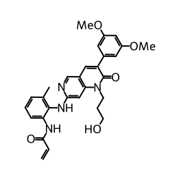 C=CC(=O)Nc1cccc(C)c1Nc1cc2c(cn1)cc(-c1cc(OC)cc(OC)c1)c(=O)n2CCCO